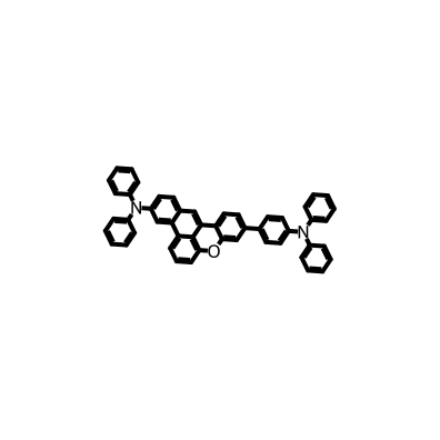 c1ccc(N(c2ccccc2)c2ccc(-c3ccc4c(c3)Oc3cccc5c3c-4cc3ccc(N(c4ccccc4)c4ccccc4)cc35)cc2)cc1